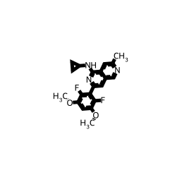 COc1cc(OC)c(F)c(-c2cc3cnc(C)cc3c(NC3CC3)n2)c1F